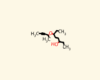 CC#CC(C)OC(CC)CCC(O)CC